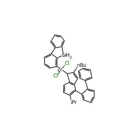 CCCCC1=Cc2c(ccc(C(C)C)c2-c2ccccc2-c2ccccc2)[CH]1[Zr]([Cl])([Cl])[c]1cccc2c1[SiH2]c1ccccc1-2